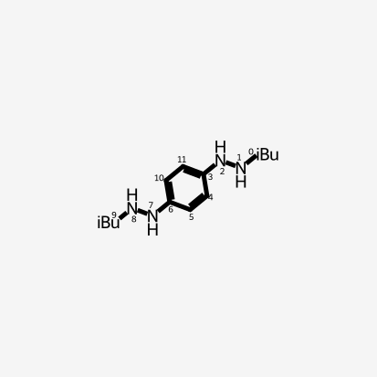 CCC(C)NNc1ccc(NNC(C)CC)cc1